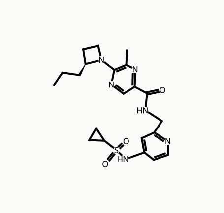 CCC[C@H]1CCN1c1ncc(C(=O)NCc2cc(NS(=O)(=O)C3CC3)ccn2)nc1C